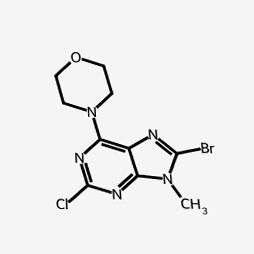 Cn1c(Br)nc2c(N3CCOCC3)nc(Cl)nc21